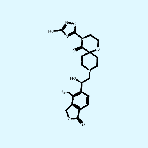 Cc1c([C@@H](O)CN2CCC3(CC2)OCCN(c2nc(O)ns2)C3=O)ccc2c1COC2=O